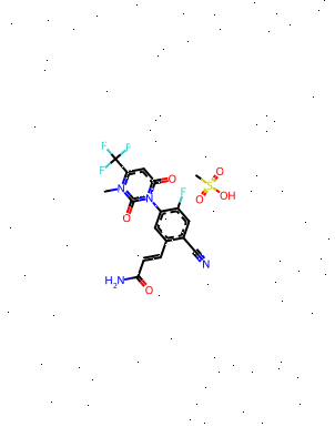 CS(=O)(=O)O.Cn1c(C(F)(F)F)cc(=O)n(-c2cc(C=CC(N)=O)c(C#N)cc2F)c1=O